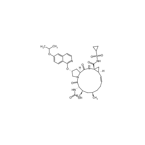 CC(C)Oc1ccc2c(O[C@@H]3C[C@H]4C(=O)N[C@]5(C(=O)NS(=O)(=O)C6CC6)C[C@H]5C=CCC[C@@H](C)C[C@@H](C)[C@H](NC(=O)O)C(=O)N4C3)nccc2c1